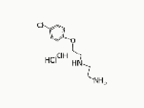 Cl.Cl.NCCNCCOc1ccc(Cl)cc1